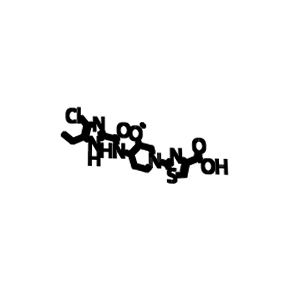 CCc1[nH]c(C(=O)NC2CCN(c3nc(C(=O)O)cs3)CC2OC)nc1Cl